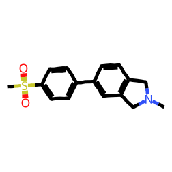 CN1Cc2ccc(-c3ccc(S(C)(=O)=O)cc3)cc2C1